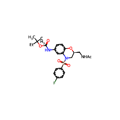 CCC(C)(C)OC(=O)Nc1ccc2c(c1)N(S(=O)(=O)c1ccc(F)cc1)C[C@H](CNC(C)=O)O2